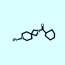 CC(C)N1CCC2(CC1)CN(C(=O)C1CCCCC1)C2